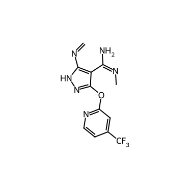 C=Nc1[nH]nc(Oc2cc(C(F)(F)F)ccn2)c1/C(N)=N\C